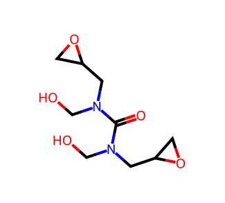 O=C(N(CO)CC1CO1)N(CO)CC1CO1